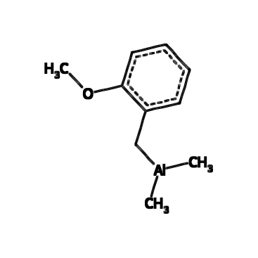 COc1ccccc1[CH2][Al]([CH3])[CH3]